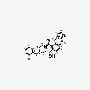 Cc1ccccc1CC1CCN(C(=O)c2c(CO)ccc(C#N)c2Cn2ccnc2)CC1